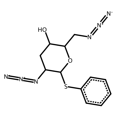 [N-]=[N+]=NCC1OC(Sc2ccccc2)C(N=[N+]=[N-])CC1O